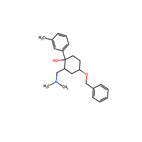 Cc1cccc(C2(O)CCC(OCc3ccccc3)CC2CN(C)C)c1